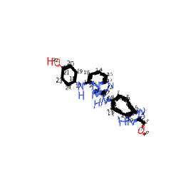 COCc1nc2ccc(Nc3nc4cccc(N[C@H]5CC[C@@H](O)CC5)n4n3)cc2[nH]1